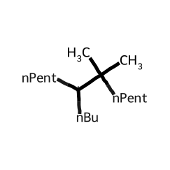 CCCCC[C](CCCC)C(C)(C)CCCCC